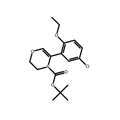 CCOc1ccc(Cl)cc1C1=COCCN1C(=O)OC(C)(C)C